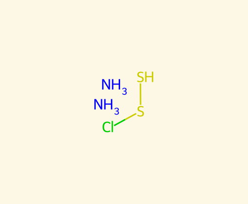 N.N.SSCl